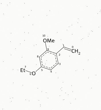 C=Cc1ccc(OCC)cc1OC